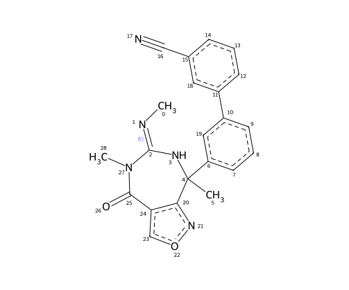 C/N=C1\NC(C)(c2cccc(-c3cccc(C#N)c3)c2)c2nocc2C(=O)N1C